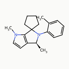 Cc1ccccc1N1[C@@H](C)c2ccn(C)c2C12CCCC2